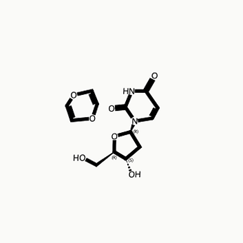 C1=COC=CO1.O=c1ccn([C@H]2C[C@H](O)[C@@H](CO)O2)c(=O)[nH]1